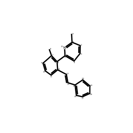 Cc1cccc(-c2c(C)cccc2C=Cc2ccccc2)n1